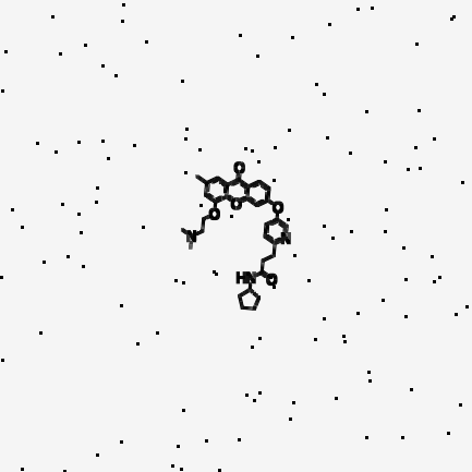 Cc1cc(OCCN(C)C)c2oc3cc(Oc4ccc(CCC(=O)NC5CCCC5)nc4)ccc3c(=O)c2c1